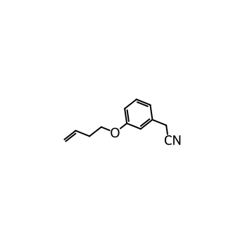 C=CCCOc1cccc(CC#N)c1